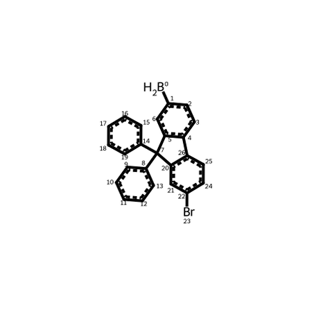 Bc1ccc2c(c1)C(c1ccccc1)(c1ccccc1)c1cc(Br)ccc1-2